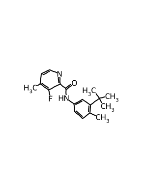 Cc1ccc(NC(=O)c2nccc(C)c2F)cc1C(C)(C)C